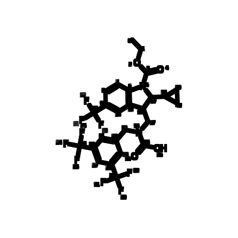 CCOC(=O)N1c2ccc(C(F)(F)F)cc2C(CN(Cc2cc(C(F)(F)F)cc(C(F)(F)F)c2)C(=O)O)C1C1CC1